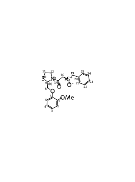 COc1ccccc1OC[C@H]1SCCN1C(=O)C[S@@+]([O-])Cc1ccccc1